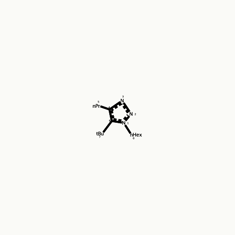 CCCCCCn1nnc(CCC)c1C(C)(C)C